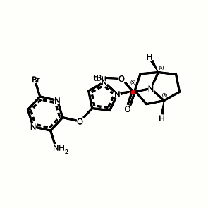 CC(C)(C)OC(=O)N1[C@@H]2CC[C@H]1C[C@H](n1cc(Oc3nc(Br)cnc3N)cn1)C2